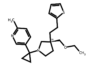 CCOC[C@@]1(CCc2cccs2)CCN(C2(c3ccc(C)nc3)CC2)C1